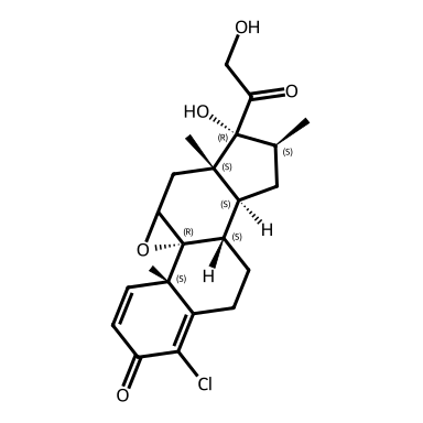 C[C@H]1C[C@H]2[C@@H]3CCC4=C(Cl)C(=O)C=C[C@]4(C)[C@]34OC4C[C@]2(C)[C@@]1(O)C(=O)CO